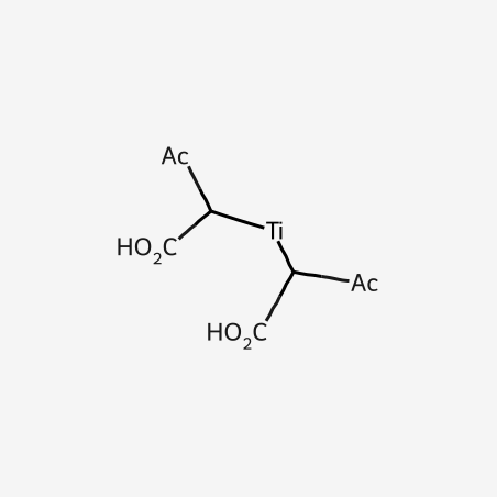 CC(=O)[CH]([Ti][CH](C(C)=O)C(=O)O)C(=O)O